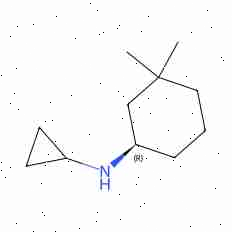 CC1(C)CCC[C@@H](NC2CC2)C1